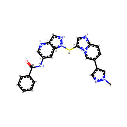 Cn1cc(-c2ccc3ncc(Sn4ncc5ncc(NC(=O)c6ccccc6)cc54)n3c2)cn1